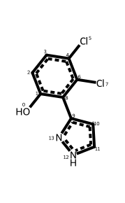 Oc1ccc(Cl)c(Cl)c1-c1[c]c[nH]n1